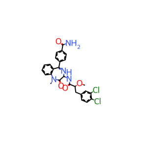 COC(Cc1ccc(Cl)c(Cl)c1)C(=O)NC1N=C(c2ccc(C(N)=O)cc2)c2ccccc2N(C)C1=O